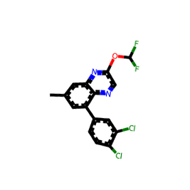 Cc1cc(-c2ccc(Cl)c(Cl)c2)c2ncc(OC(F)F)nc2c1